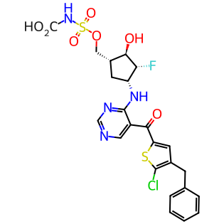 O=C(O)NS(=O)(=O)OC[C@H]1C[C@@H](Nc2ncncc2C(=O)c2cc(Cc3ccccc3)c(Cl)s2)[C@@H](F)[C@@H]1O